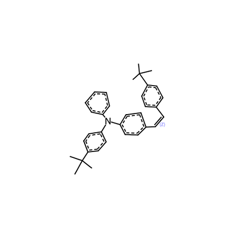 CC(C)(C)c1ccc(/C=C\c2ccc(N(c3ccccc3)c3ccc(C(C)(C)C)cc3)cc2)cc1